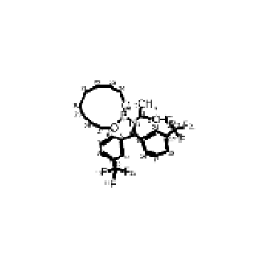 CC(C)N(C(c1cccc(C(F)(F)F)c1)c1cccc(C(F)(F)F)c1)P1OCCCCCCCCO1